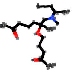 CC(C)C[C@@H](C(=O)O)N(C)CC(CCCC(=O)C(=O)O)(OCCCC(=O)C(=O)O)C(=O)O